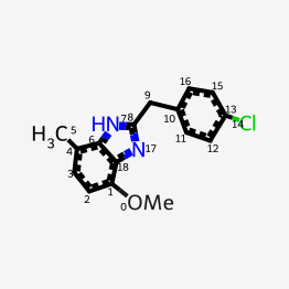 COc1ccc(C)c2[nH]c(Cc3ccc(Cl)cc3)nc12